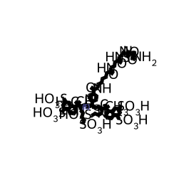 CC1(C)C(=CC=C(/C=C/C2N(CCCS(=O)(=O)O)c3ccc4c(S(=O)(=O)O)cc(S(=O)(=O)O)cc4c3C2(C)C)c2ccc(C(=O)NCCCCCC(=O)NCCC(=O)Nc3nnc(S(N)(=O)=O)s3)cn2)N(CCCS(=O)(=O)O)c2ccc3c(S(=O)(=O)O)cc(S(=O)(=O)O)cc3c21